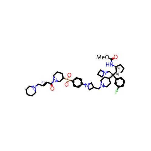 COC(=O)N[C@H]1CCC[C@@H]1[C@](CN1CCC1)(c1cccc(F)c1)C1CCN(CC2CN(c3ccc(S(=O)(=O)[C@@H]4CCCN(C(=O)/C=C/CN5CCCCC5)C4)cc3)C2)CC1